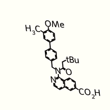 COc1ccc(-c2ccc(CN(C(=O)CC(C)(C)C)c3nccc4cc(C(=O)O)ccc34)cc2)cc1C